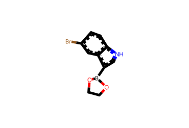 Brc1ccc2[nH]cc(B3OCCO3)c2c1